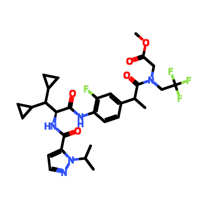 COC(=O)CN(CC(F)(F)F)C(=O)C(C)c1ccc(NC(=O)[C@@H](NC(=O)c2ccnn2C(C)C)C(C2CC2)C2CC2)c(F)c1